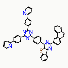 c1ccc(-c2ccc(-c3nc(-c4ccc(-c5ccccn5)cc4)nc(-c4ccc(-c5nc(-c6ccc7ccc8ccccc8c7c6)nc6c5sc5ccccc56)cc4)n3)cc2)nc1